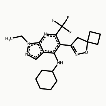 CCn1ncc2c(NC3CCCCC3)c(C3=NOC4(CCC4)C3)c(C(F)(F)F)nc21